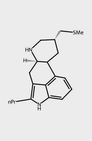 CCCc1[nH]c2cccc3c2c1C[C@H]1NC[C@H](CSC)CC31